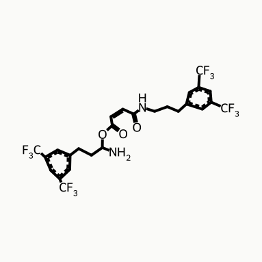 NC(CCc1cc(C(F)(F)F)cc(C(F)(F)F)c1)OC(=O)/C=C\C(=O)NCCCc1cc(C(F)(F)F)cc(C(F)(F)F)c1